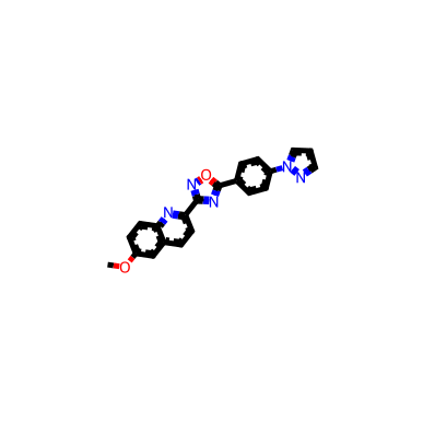 COc1ccc2nc(-c3noc(-c4ccc(-n5cccn5)cc4)n3)ccc2c1